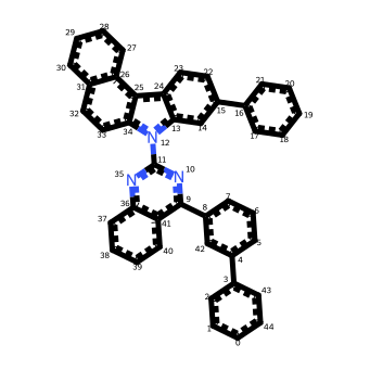 c1ccc(-c2cccc(-c3nc(-n4c5cc(-c6ccccc6)ccc5c5c6ccccc6ccc54)nc4ccccc34)c2)cc1